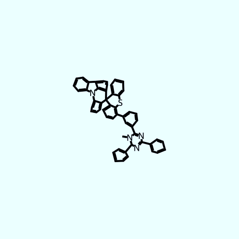 CN1C(c2cccc(-c3cccc4c3Sc3ccccc3C43c4ccccc4-n4c5ccccc5c5cccc3c54)c2)=NC(c2ccccc2)=NC1c1ccccc1